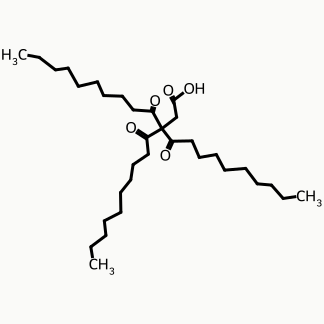 CCCCCCCCCC(=O)C(CC(=O)O)(C(=O)CCCCCCCCC)C(=O)CCCCCCCCC